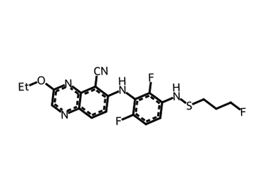 CCOc1cnc2ccc(Nc3c(F)ccc(NSCCCF)c3F)c(C#N)c2n1